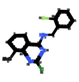 COc1cccc2c(NCc3ccccc3F)nc(Cl)nc12